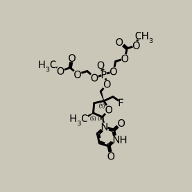 COC(=O)OCOP(=O)(OCOC(=O)OC)OC[C@]1(CF)C[C@H](C)[C@H](n2ccc(=O)[nH]c2=O)O1